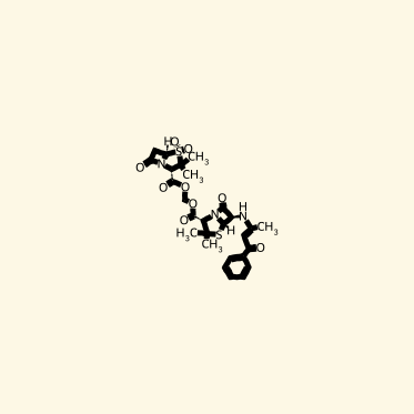 CC(=CC(=O)c1ccccc1)N[C@@H]1C(=O)N2[C@@H]1SC(C)(C)[C@@H]2C(=O)OCOC(=O)[C@@H]1N2C(=O)C[C@H]2S(=O)(=O)C1(C)C